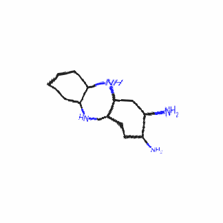 NC1CC2NC3CCCCC3NC2CC1N